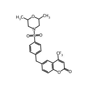 CC1CN(S(=O)(=O)c2ccc(Cc3ccc4oc(=O)cc(C(F)(F)F)c4c3)cc2)CC(C)O1